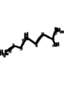 BC(O)CCNCCC